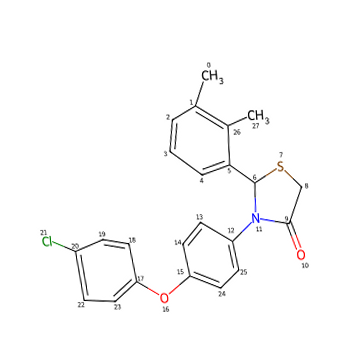 Cc1cccc(C2SCC(=O)N2c2ccc(Oc3ccc(Cl)cc3)cc2)c1C